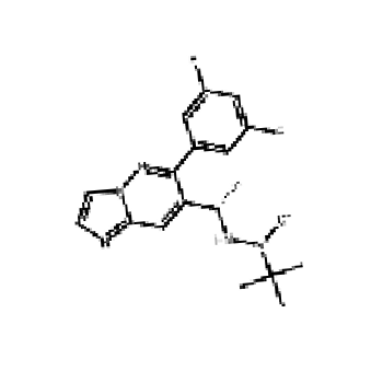 C[C@H](N[S+]([O-])C(C)(C)C)c1cc2nccn2nc1-c1cc(F)cc(F)c1